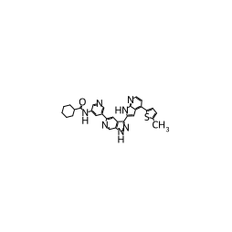 Cc1ccc(-c2ccnc3[nH]c(-c4n[nH]c5cnc(-c6cncc(NC(=O)C7CCCCC7)c6)cc45)cc23)s1